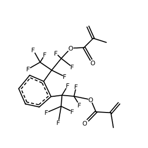 C=C(C)C(=O)OC(F)(F)C(F)(c1ccccc1C(F)(C(F)(F)F)C(F)(F)OC(=O)C(=C)C)C(F)(F)F